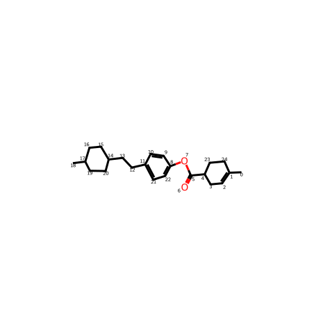 CC1=CCC(C(=O)Oc2ccc(CCC3CCC(C)CC3)cc2)CC1